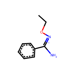 CCO/N=C(/N)c1cc[c]cc1